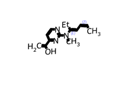 C=C(O)c1ccnc(N(C)/C(=C/C=C\C)CC)n1